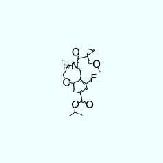 COCC1(C(=O)N2Cc3c(F)cc(C(=O)OC(C)C)cc3OC[C@@H]2C)CC1